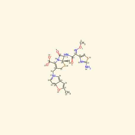 CON=C(C(=O)NC1C(=O)N2C(C(=O)[O-])=C(C[n+]3ccc4oc(C)cc4c3)CS[C@@H]12)c1csc(N)n1